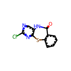 O=C1Nc2cnc(Cl)nc2Sc2ccccc21